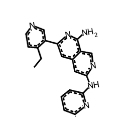 CCc1ccncc1-c1cc2cc(Nc3ccc[c]n3)ncc2c(N)n1